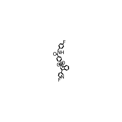 O=C(NCc1ccc(F)cc1)c1ccc(S(=O)(=O)n2cc(-c3ccc(F)nc3)c3ccccc32)cc1